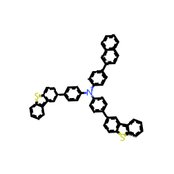 c1ccc2cc(-c3ccc(N(c4ccc(-c5ccc6sc7ccccc7c6c5)cc4)c4ccc(-c5ccc6sc7ccccc7c6c5)cc4)cc3)ccc2c1